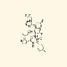 C[C@@H](CO)n1nccc1C(=O)N[C@H](C(=O)Nc1cn([C@@H](CC(F)F)c2nncn2CC(F)(F)F)nc1F)[C@H]1CC[C@H](C)CC1